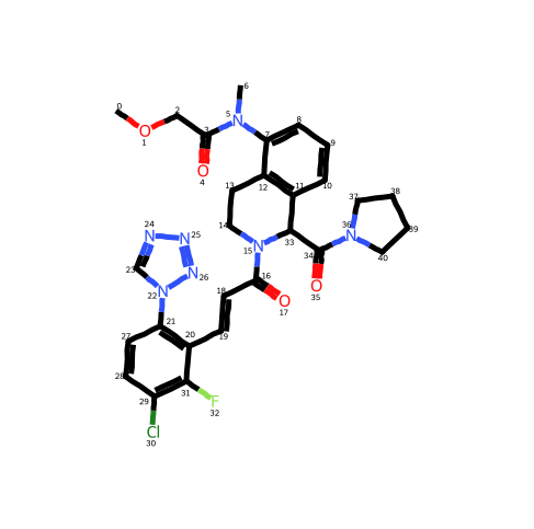 COCC(=O)N(C)c1cccc2c1CCN(C(=O)C=Cc1c(-n3cnnn3)ccc(Cl)c1F)C2C(=O)N1CCCC1